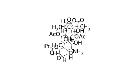 CC(=O)O[C@H]1[C@@H]2[C@H]([C@H](C)[C@H]3O[C@]34OC(=O)[C@@](C)(O)[C@]24C)[C@@]2(C)[C@@H](OC(C)=O)CC3C([C@@H](O)[C@@H](N)[C@@]4(O)C[C@@H]5O[C@@H]5[C@H](OC(=O)C(C)C)[C@]34C)[C@H]12